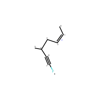 C/C=C\CC(C)C#CF